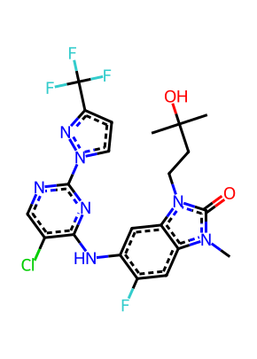 Cn1c(=O)n(CCC(C)(C)O)c2cc(Nc3nc(-n4ccc(C(F)(F)F)n4)ncc3Cl)c(F)cc21